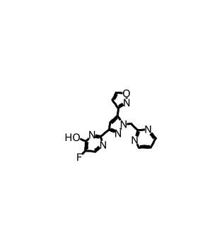 Oc1nc(-c2cc(-c3ccon3)n(Cc3ncccn3)n2)ncc1F